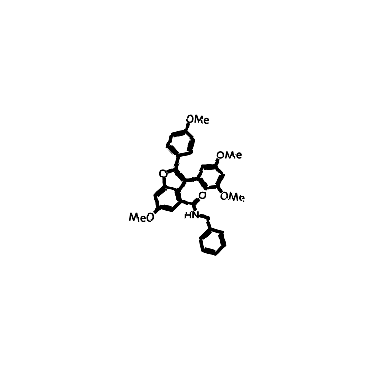 COc1ccc(-c2oc3cc(OC)cc(C(=O)NCc4ccccc4)c3c2-c2cc(OC)cc(OC)c2)cc1